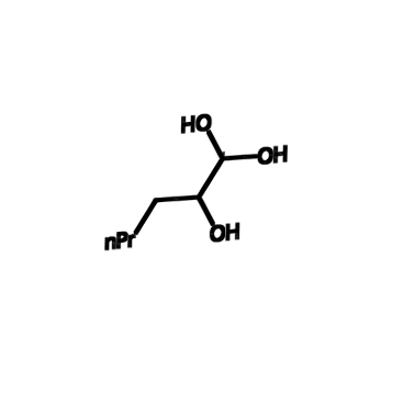 CCCCC(O)[C](O)O